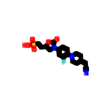 N#CC=C1CCN(c2ccc(N3CC(CCS(=O)(=O)O)OC3=O)cc2F)CC1